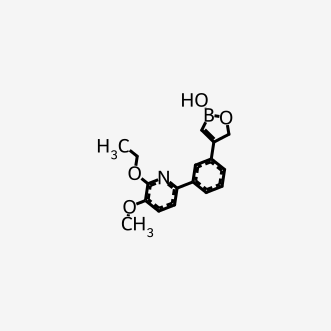 CCOc1nc(-c2cccc(C3=CB(O)OC3)c2)ccc1OC